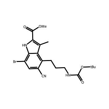 COC(=O)c1[nH]c2c(Br)cc(C#N)c(CCCNC(=O)OC(C)(C)C)c2c1C